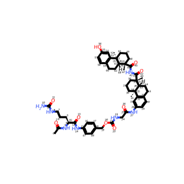 CC(=O)N[C@@H](CCCNC(N)=O)C(=O)Nc1ccc(COC(=O)NCC(=O)Nc2ccc3c(c2)[C@@]2(C)CCC[C@](C)(C(=O)NC(=O)[C@@]4(C)CCC[C@]5(C)c6cc(O)ccc6CC[C@@H]45)[C@@H]2CC3)cc1